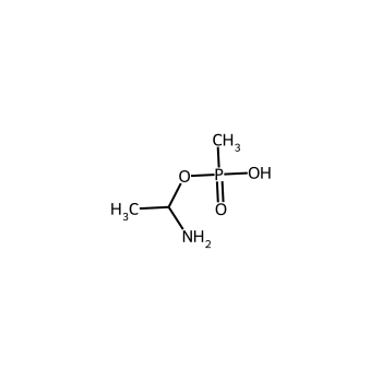 CC(N)OP(C)(=O)O